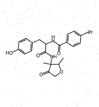 CC(C)c1ccc(C(=O)NC(Cc2ccc(O)cc2)C(=O)NC2(C)C(=O)COC2C)cc1